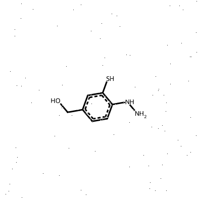 NNc1ccc(CO)cc1S